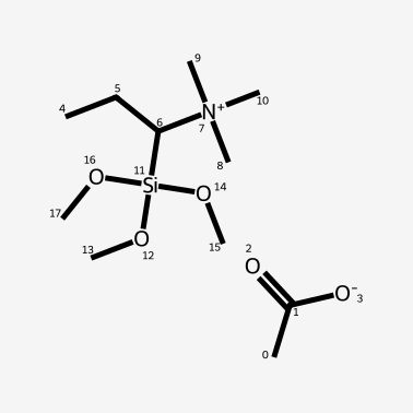 CC(=O)[O-].CCC([N+](C)(C)C)[Si](OC)(OC)OC